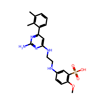 COc1ccc(NCCNc2cc(-c3cccc(C)c3C)nc(N)n2)cc1S(=O)(=O)O